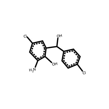 Nc1cc(Cl)cc(C(O)c2ccc(Cl)cc2)c1O